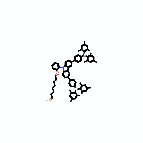 Cc1cc(C)c(B(c2ccc(-c3ccc4c(c3)c3cc(-c5ccc(B(c6c(C)cc(C)cc6C)c6c(C)cc(C)cc6C)cc5)ccc3n4-c3ccccc3OCCCCCCCCS)cc2)c2c(C)cc(C)cc2C)c(C)c1